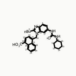 CCCCc1nc2ccc(NC(=O)NC3CCCCC3)cc2n1Cc1ccc(C(=O)O)c2ccccc12